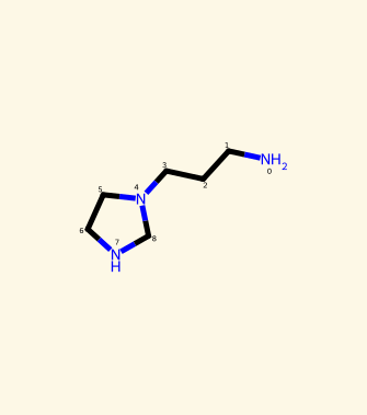 NCCCN1CCNC1